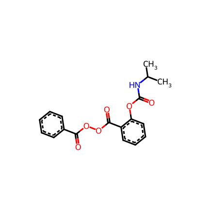 CC(C)NC(=O)Oc1ccccc1C(=O)OOC(=O)c1ccccc1